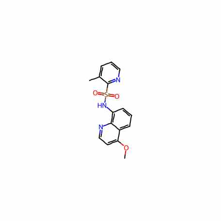 COc1ccnc2c(NS(=O)(=O)c3ncccc3C)cccc12